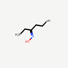 CCCCCC(C[SiH3])=NO